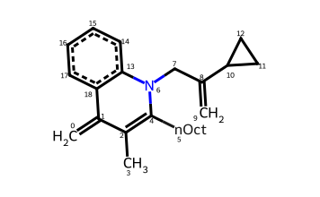 C=C1C(C)=C(CCCCCCCC)N(CC(=C)C2CC2)c2ccccc21